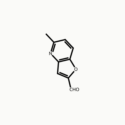 Cc1ccc2oc(C=O)cc2n1